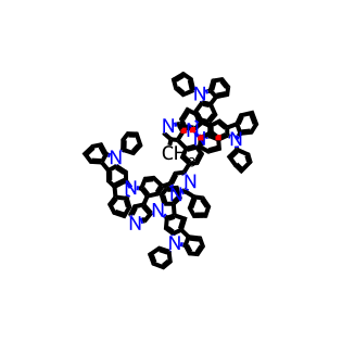 CC1C=NC=C(n2c3ccccc3c3cc4c5ccccc5n(-c5ccccc5)c4cc32)C1c1cc(-c2cc(-c3ccc(-n4c5ccccc5c5cc6c7ccccc7n(-c7ccccc7)c6cc54)c(-c4ccncc4-n4c5ccccc5c5cc6c7ccccc7n(-c7ccccc7)c6cc54)c3)nc(-c3ccccc3)n2)ccc1-n1c2ccccc2c2cc3c4ccccc4n(-c4ccccc4)c3cc21